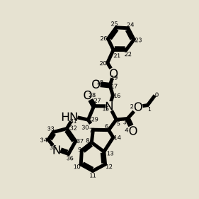 CCOC(=O)C(C1Cc2ccccc2C1)N(CC(=O)OCc1ccccc1)C(=O)C(C)Nc1ccncc1